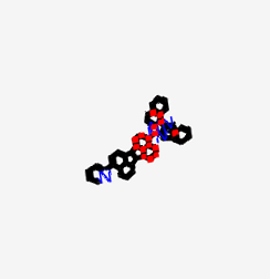 c1ccc(-c2nc(-c3ccccc3)nc(-c3ccc4c5c(cccc35)C35c6cccc7c(-c8ccccn8)ccc(c67)C43c3ccc(-n4c6ccccc6c6ccccc64)c4cccc5c34)n2)cc1